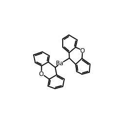 c1ccc2c(c1)Oc1ccccc1[CH]2[Ba][CH]1c2ccccc2Oc2ccccc21